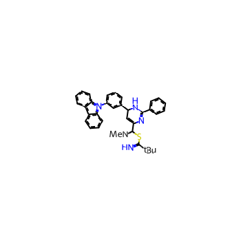 CNC(SC(=N)C(C)(C)C)C1=CC(c2cccc(-n3c4ccccc4c4ccccc43)c2)NC(c2ccccc2)=N1